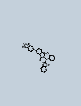 COc1ccccc1C(c1nc2ccccc2[nH]1)N1Cc2ccc(-c3ccc(NC(=O)O)cc3)cc2C1=O